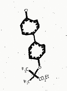 CCOC(=O)C(Oc1ccc(-c2ccc(Cl)cc2)cc1)(C(F)(F)F)C(F)(F)F